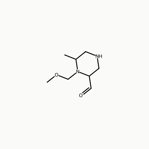 COCN1C(C)CNCC1C=O